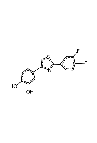 Oc1ccc(-c2csc(-c3ccc(F)c(F)c3)n2)cc1O